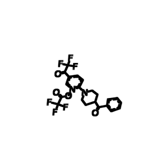 O=C(c1ccccc1)C1CCN(c2ccc(C(=O)C(F)(F)F)c[n+]2OC(=O)C(F)(F)F)CC1